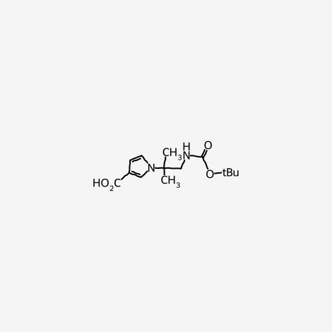 CC(C)(C)OC(=O)NCC(C)(C)n1ccc(C(=O)O)c1